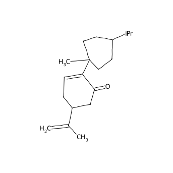 C=C(C)C1CC=C(C2(C)CCC(C(C)C)CC2)C(=O)C1